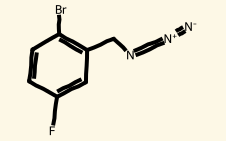 [N-]=[N+]=NCc1cc(F)ccc1Br